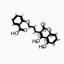 O=C(O)c1ccccc1OCCCc1c(O)c2c(O)cccc2oc1=O